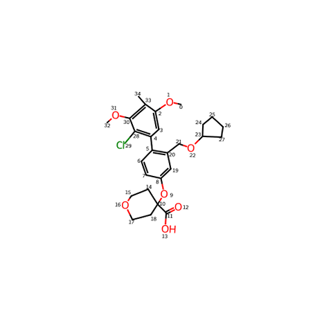 COc1cc(-c2ccc(OC3(C(=O)O)CCOCC3)cc2COC2CCCC2)c(Cl)c(OC)c1C